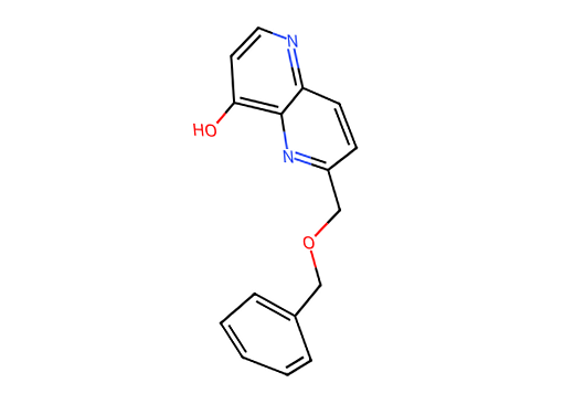 Oc1ccnc2ccc(COCc3ccccc3)nc12